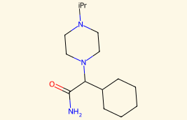 CC(C)N1CCN(C(C(N)=O)C2CCCCC2)CC1